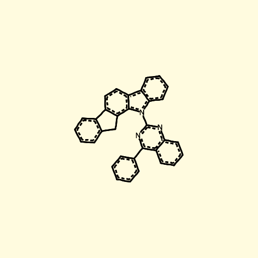 c1ccc(-c2nc(-n3c4ccccc4c4ccc5c(c43)Cc3ccccc3-5)nc3ccccc23)cc1